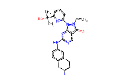 CCn1c(=O)c2cnc(Nc3ccc4c(c3)CCC(N(C)C)C4)nc2n1-c1cccc(C(C)(C)O)n1